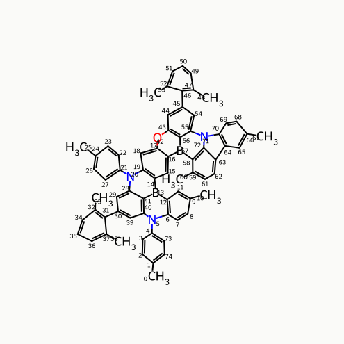 Cc1ccc(N2c3ccc(C)cc3B3c4cc5c(cc4N(c4ccc(C)cc4)c4cc(-c6c(C)cccc6C)cc2c43)Oc2cc(-c3c(C)cccc3C)cc3c2B5c2c(C)ccc4c5cc(C)ccc5n-3c24)cc1